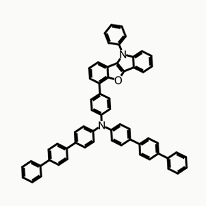 c1ccc(-c2ccc(-c3ccc(N(c4ccc(-c5ccc(-c6ccccc6)cc5)cc4)c4ccc(-c5cccc6c5oc5c7ccccc7n(-c7ccccc7)c65)cc4)cc3)cc2)cc1